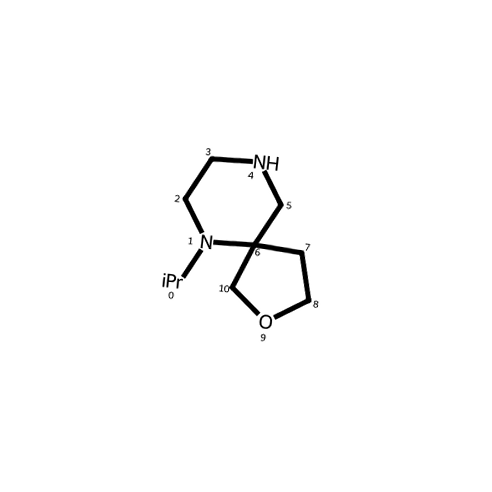 CC(C)N1CCNCC12CCOC2